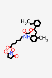 C=Cc1ccccc1C(Cc1ccccc1C)OCC(=O)NCCCCCC(=O)ON1C(=O)CCC1=O